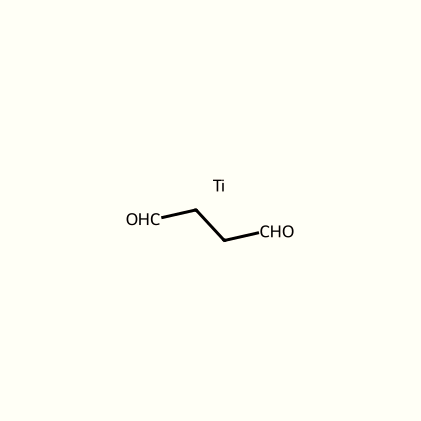 O=CCCC=O.[Ti]